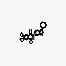 COc1cc2[nH]c(N3CCc4c(ncn4C4CCCCCC4)C3)nc(=O)c2cc1OC